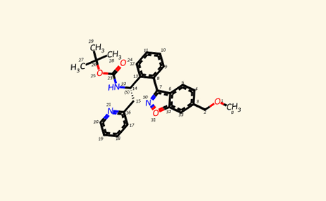 COCc1ccc2c(-c3ccccc3[C@H](Cc3ccccn3)NC(=O)OC(C)(C)C)noc2c1